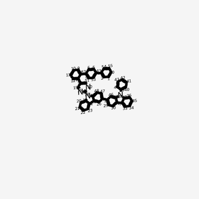 c1ccc(-c2ccc(-c3ccccc3-c3cnc(-n4c5ccccc5c5cc(-c6ccc7c8ccccc8n(-c8ccccc8)c7c6)ccc54)nc3)cc2)cc1